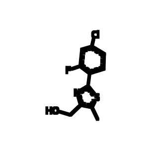 Cc1sc(-c2ccc(Cl)cc2F)nc1CO